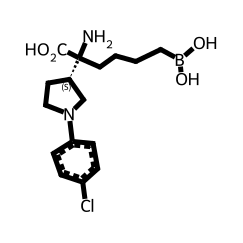 NC(CCCCB(O)O)(C(=O)O)[C@H]1CCN(c2ccc(Cl)cc2)C1